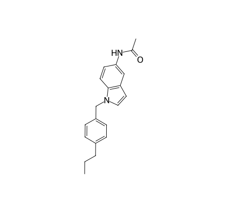 CCCc1ccc(Cn2ccc3cc(NC(C)=O)ccc32)cc1